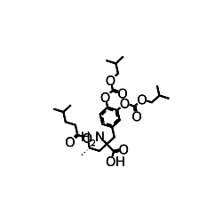 CC(C)CCC(=O)O[C@@H](C)CC(N)(Cc1ccc(OC(=O)OCC(C)C)c(OC(=O)OCC(C)C)c1)C(=O)O